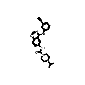 C#Cc1cccc(Nc2ncnc3ccc(NC(=O)N4CCN(C(C)C)CC4)cc23)c1